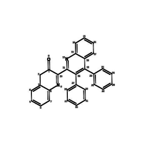 O=C1Cc2ccccc2N=C1c1nc2ccccc2c(-c2ccccc2)c1-c1ccccc1